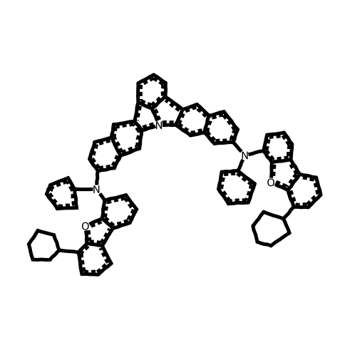 c1ccc(N(c2ccc3cc4c5cccc6c7cc8ccc(N(c9ccccc9)c9cccc%10c9oc9c(C%11CCCCC%11)cccc9%10)cc8cc7n(c4cc3c2)c56)c2cccc3c2oc2c(C4CCCCC4)cccc23)cc1